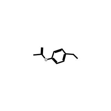 C=C(C)Oc1ccc(CC)cc1